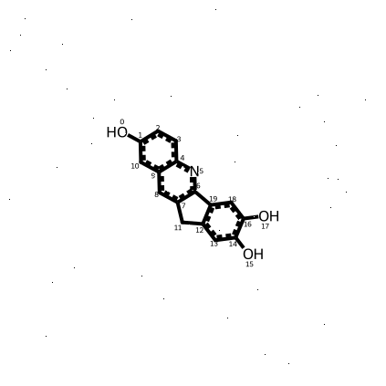 Oc1ccc2nc3c(cc2c1)Cc1cc(O)c(O)cc1-3